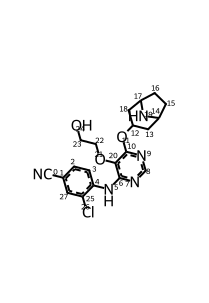 N#Cc1ccc(Nc2ncnc(OC3CC4CCC(C3)N4)c2OCCO)c(Cl)c1